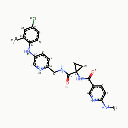 CCNc1ccc(C(=O)NC2(C(=O)NCc3ccc(Nc4ccc(Cl)cc4C(F)(F)F)cn3)CC2)cn1